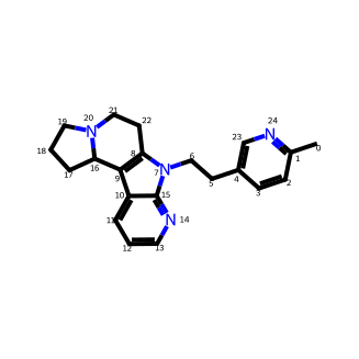 Cc1ccc(CCn2c3c(c4cccnc42)C2CCCN2CC3)cn1